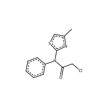 Cc1csc(N(C(=O)CCl)c2ccccc2)n1